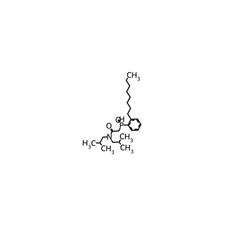 CCCCCCCCc1ccccc1[PH](=O)CC(=O)N(CC(C)C)CC(C)C